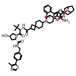 Cc1ncsc1-c1ccc(CNC(=O)[C@@H]2C[C@@H](O)CN2C(=O)[C@@H](NC(=O)C2CC3(CCC(N4CCC(c5cnc(N6C7CCC6CN(c6cc(-c8ccccc8O)nnc6N)C7)nc5)CC4)CC3)C2)C(C)(C)C)cc1